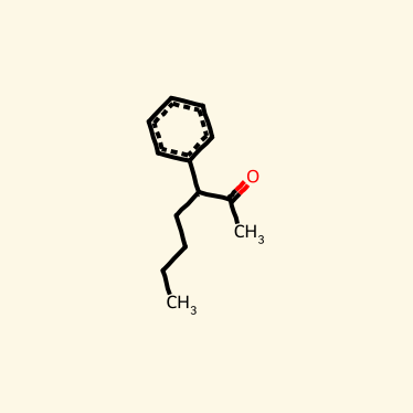 CCCC[C](C(C)=O)c1ccccc1